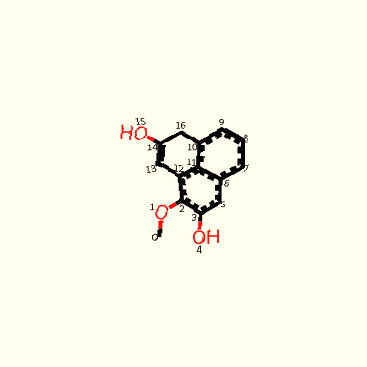 COc1c(O)cc2cccc3c2c1C=C(O)C3